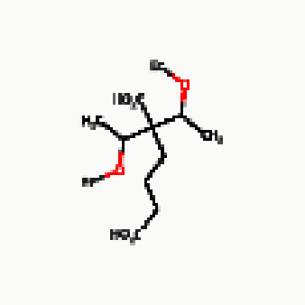 CCOC(C)C(CCCC(=O)O)(C(=O)O)C(C)OCC